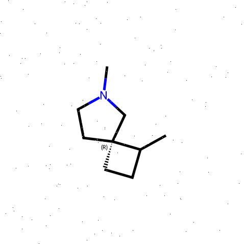 CC1CC[C@@]12CCN(C)C2